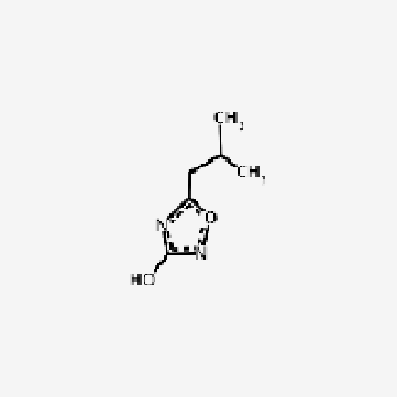 CC(C)Cc1nc(O)no1